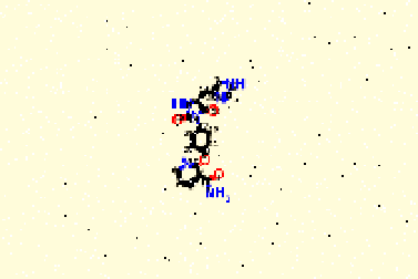 NC(=O)c1cccnc1O[C@H]1CC[C@H](N2C(=O)NC(Cc3c[nH]cn3)C2=O)CC1